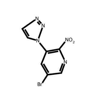 O=[N+]([O-])c1ncc(Br)cc1-n1ccnn1